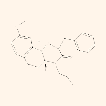 CCCN1C(=O)C(Cc2ccccc2)O[C@@H]2c3cc(OC)ccc3CC[C@H]21